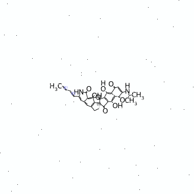 C/C=C/C=C/c1cc2cc3c(c(O)c2c(=O)[nH]1)[C@@]1(CC3)C(=O)c2c(O)c3c(c(O)c2C1=O)C(=O)C(NC(C)C)=CC3=O